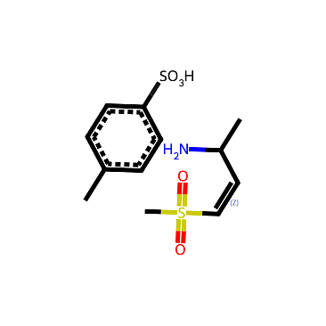 CC(N)/C=C\S(C)(=O)=O.Cc1ccc(S(=O)(=O)O)cc1